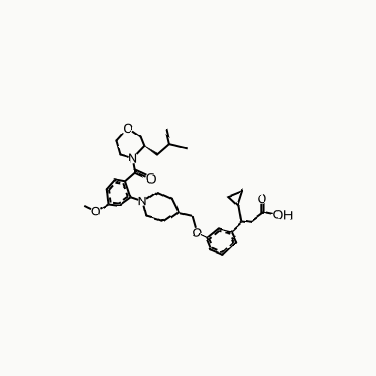 COc1ccc(C(=O)N2CCOC[C@H]2CC(C)C)c(N2CCC(COc3cccc(C(CC(=O)O)C4CC4)c3)CC2)c1